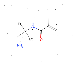 C=C(C)C(=O)NC(CC)(CC)CN